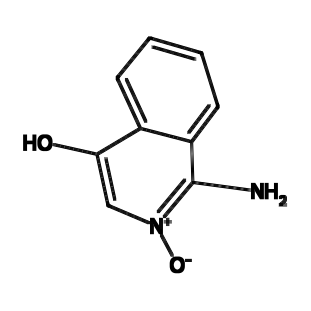 Nc1c2ccccc2c(O)c[n+]1[O-]